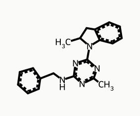 Cc1nc(NCc2ccccc2)nc(N2c3ccccc3CC2C)n1